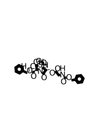 CC1(C)[C@H](C(=O)OCc2ccccc2)N2C(=O)[C@@H](COC(=O)CNC(=O)OCc3ccccc3)[C@H]2S1(=O)=O